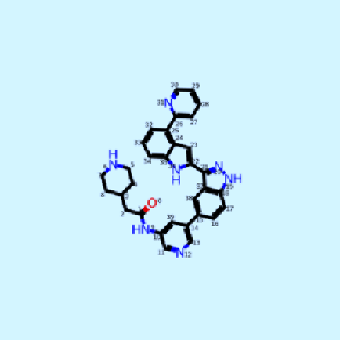 O=C(CC1CCNCC1)Nc1cncc(-c2ccc3[nH]nc(-c4cc5c(-c6ccccn6)cccc5[nH]4)c3c2)c1